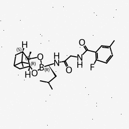 Cc1ccc(F)c(C(=O)NCC(=O)N[C@@H](CC(C)C)B2O[C@@H]3CC4C[C@@H](C4(C)C)[C@]3(C)O2)c1